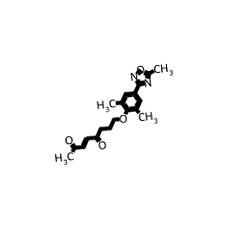 CC(=O)/C=C/C(=O)CCCOc1c(C)cc(-c2noc(C)n2)cc1C